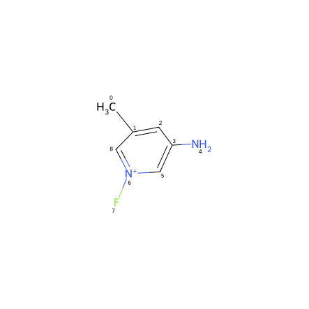 Cc1cc(N)c[n+](F)c1